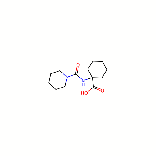 O=C(NC1(C(=O)O)CCCCC1)N1CCCCC1